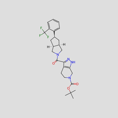 CC(C)(C)OC(=O)N1CCc2c(C(=O)N3C[C@H]4C[C@@H](c5ccccc5C(F)(F)F)C[C@H]4C3)n[nH]c2C1